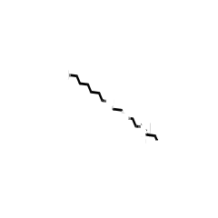 O=C(CI)NCCOCCOCCCCCCCl